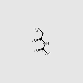 CC(C)C(=O)NC(=O)CN